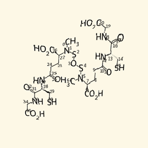 CN(SOSN(C)[C@@H](CCC(=O)N[C@@H](CS)C(=O)NCC(=O)O)C(=O)O)[C@@H](CCC(=O)N[C@@H](CS)C(=O)NCC(=O)O)C(=O)O